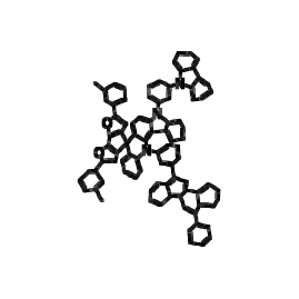 Cc1cccc(-c2cc3c(o2)-c2oc(-c4cccc(C)c4)cc2C32c3ccccc3N(c3cccc(-c4cc5c6ccccc6c(-c6ccccc6)cc5c5ccccc45)c3)c3c2ccc2c3c3ccccc3n2-c2cccc(-n3c4ccccc4c4ccccc43)c2)c1